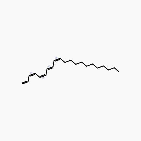 C=C\C=C/C=C\C=C\C=C/CCCCCCCCCCC